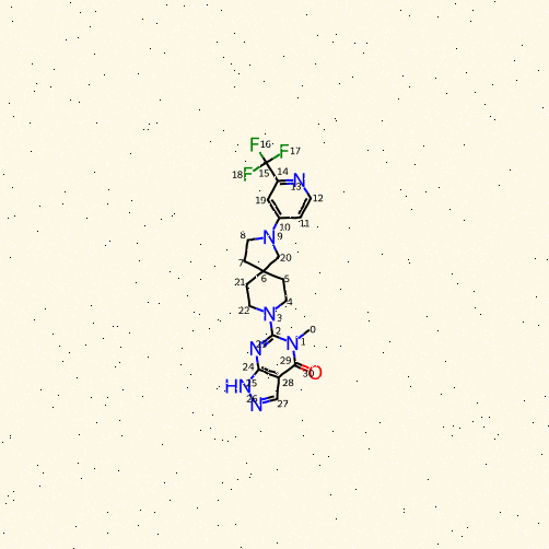 Cn1c(N2CCC3(CCN(c4ccnc(C(F)(F)F)c4)C3)CC2)nc2[nH]ncc2c1=O